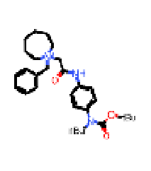 CCCCN(C(=O)OC(C)(C)C)c1ccc(NC(=O)C[N+]2(Cc3ccccc3)CCCCCC2)cc1